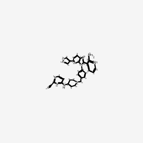 N#Cc1nccc(NC2CCN(Cc3ccc(-n4c(-c5cccnc5N)nc5ccc(-c6cnoc6)nc54)cc3)CC2)n1